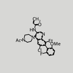 C=CC(=O)Nc1cnc2c(CC)c(-c3c(F)cccc3OC)c(Cl)cc2c1N1CCN(C(C)=O)CC1